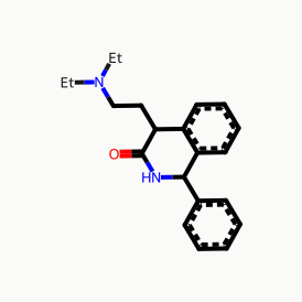 CCN(CC)CCC1C(=O)NC(c2ccccc2)c2ccccc21